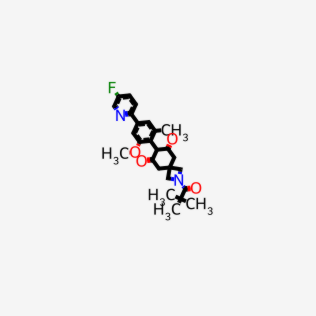 COc1cc(-c2ccc(F)cn2)cc(C)c1C1C(=O)CC2(CC1=O)CN(C(=O)C(C)(C)C)C2